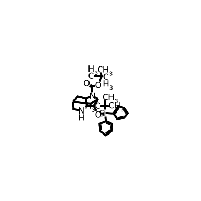 CC(C)(C)OC(=O)N1C2CC3CNC2C(O[Si](c2ccccc2)(c2ccccc2)C(C)(C)C)C1C3